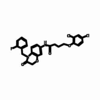 O=C(CCCOc1ccc(Cl)cc1Cl)Nc1ccc2c(c1)OCC(=O)N2Cc1ccccc1F